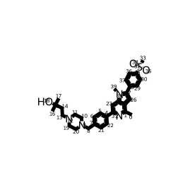 Cc1nc(-c2ccc(CN3CCN(CCC(C)(C)O)CC3)cc2)cc2c1cc(-c1ccc(S(C)(=O)=O)cc1)n2C